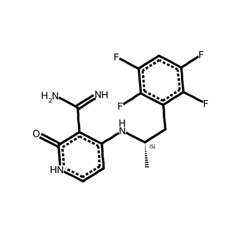 C[C@@H](Cc1c(F)c(F)cc(F)c1F)Nc1cc[nH]c(=O)c1C(=N)N